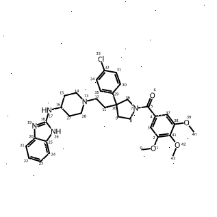 COc1cc(C(=O)N2CCC(CCN3CCC(Nc4nc5ccccc5[nH]4)CC3)(c3ccc(Cl)cc3)C2)cc(OC)c1OC